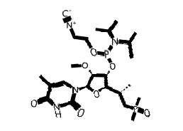 [C-]#[N+]CCOP(O[C@H]1[C@@H](OC)[C@H](n2cc(C)c(=O)[nH]c2=O)O[C@@H]1[C@H](C)CP(C)(C)=O)N(C(C)C)C(C)C